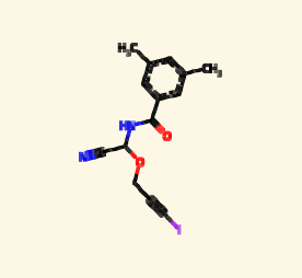 Cc1cc(C)cc(C(=O)NC(C#N)OCC#CI)c1